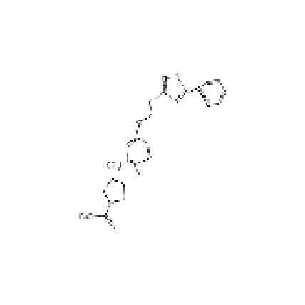 CC(C)COC(=O)N1C[C@@H](Cc2ccc(OCCc3noc(-c4ccccc4)n3)cc2)[C@@H](C(=O)O)C1